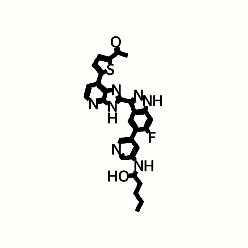 CCCCC(O)Nc1cncc(-c2cc3c(-c4nc5c(-c6ccc(C(C)=O)s6)ccnc5[nH]4)n[nH]c3cc2F)c1